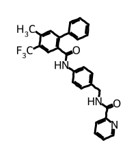 Cc1cc(-c2ccccc2)c(C(=O)Nc2ccc(CNC(=O)c3ccccn3)cc2)cc1C(F)(F)F